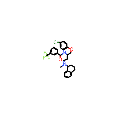 CN(CCC1COc2ccc(Cl)cc2N1C(=O)c1cccc(C(F)(F)F)c1)C1CCCc2ccccc21